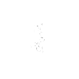 O=C(O)N1C[C@@H]2C[C@H]1CN2c1cc(-n2nc(Br)c3ccc(N4CCOCC4)nc32)ccn1